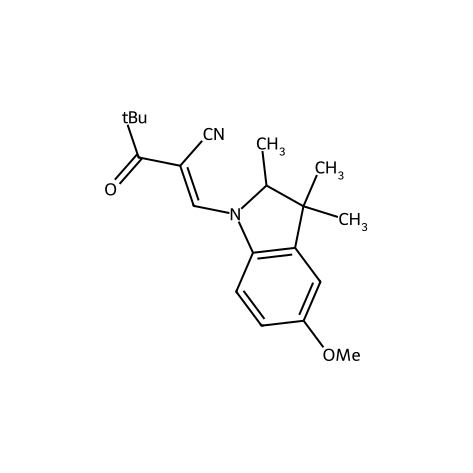 COc1ccc2c(c1)C(C)(C)C(C)N2C=C(C#N)C(=O)C(C)(C)C